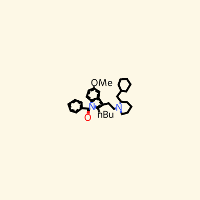 CCCCc1c(CCN2CCCCC2CC2CCCCC2)c2cc(OC)ccc2n1C(=O)c1ccccc1